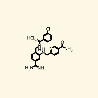 Cl.N=C(N)c1ccc(CNC(=O)c2cccc(Cl)c2)c(NCc2ccc(C(N)=O)cn2)c1